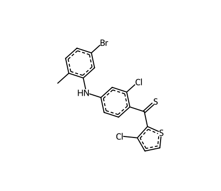 Cc1ccc(Br)cc1Nc1ccc(C(=S)c2sccc2Cl)c(Cl)c1